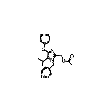 CC(=O)OCc1nc(Sc2ccccc2)c(C(C)C)n1Cc1ccncc1